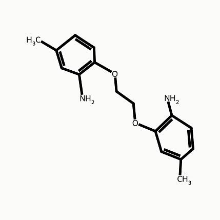 Cc1ccc(OCCOc2cc(C)ccc2N)c(N)c1